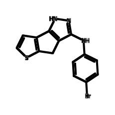 Brc1ccc(Nc2n[nH]c3c2Cc2sccc2-3)cc1